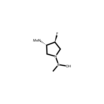 CN[C@H]1CN(B(C)O)C[C@@H]1F